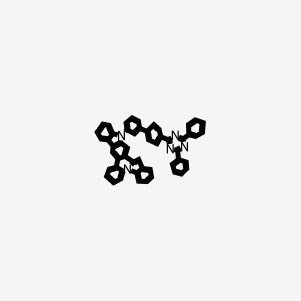 c1ccc(-c2nc(-c3ccccc3)nc(-c3ccc(-c4cccc(-n5c6ccccc6c6cc7c8ccccc8n8c9ccccc9cc8c7cc65)c4)cc3)n2)cc1